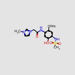 COc1cc(NS(C)(=O)=O)c(O)cc1NC(=O)Cn1cc[n+](C)c1